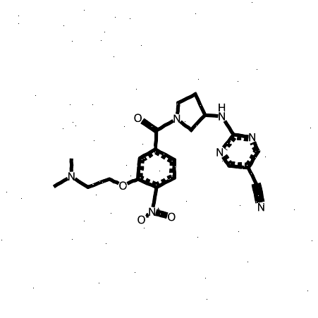 CN(C)CCOc1cc(C(=O)N2CCC(Nc3ncc(C#N)cn3)C2)ccc1[N+](=O)[O-]